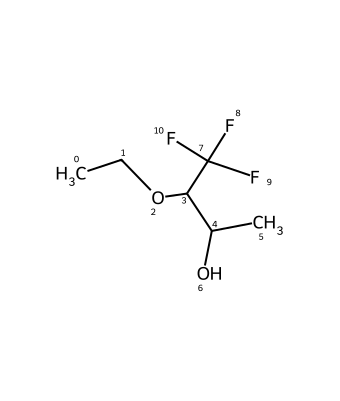 CCOC(C(C)O)C(F)(F)F